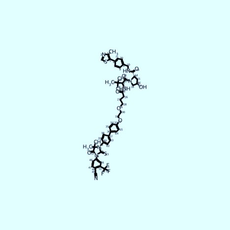 Cc1ncsc1-c1ccc(CNC(=O)[C@@H]2C[C@@H](O)CN2C(=O)C(NC(=O)CCCOCCOc2ccc(-c3ccc(N4C(=S)N(c5ccc(C#N)c(C(F)(F)F)c5)C(=O)C4(C)C)cc3)cc2)C(C)(C)C)cc1